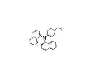 ICC1=CC=C(N(c2cccc3ccccc23)c2cccc3ccccc23)CC1